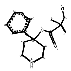 CC(C)(CCl)C(=O)OC1(c2ccccc2)CCNCC1